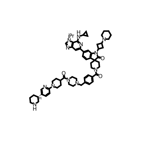 CC(C)n1cnc2cc(-c3ccc4c(c3)N(C3CC(N5CCCCC5)C3)C(=O)C43CCN(C(=O)c4ccc(CN5CCN(C(=O)C6CCN(c7ccc([C@H]8CCCNC8)cn7)CC6)CC5)cc4)CC3)nc(NC3CC3)c21